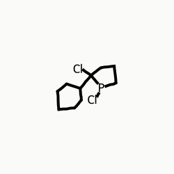 ClP1CCCC1(Cl)C1CCCCC1